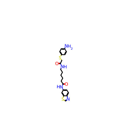 Nc1ccc(SCC(=O)NCCCCCC(=O)Nc2ccc3ncsc3c2)cc1